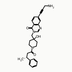 C[C@H](CC(=O)N1CCC(O)(Cn2cnc3cc(C#CCN)ccc3c2=O)CC1)c1ccccc1